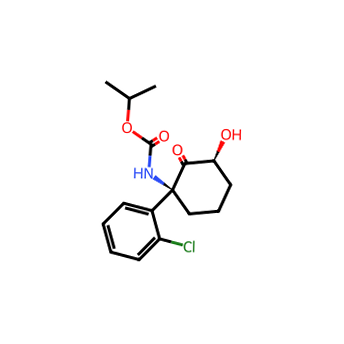 CC(C)OC(=O)N[C@]1(c2ccccc2Cl)CCC[C@H](O)C1=O